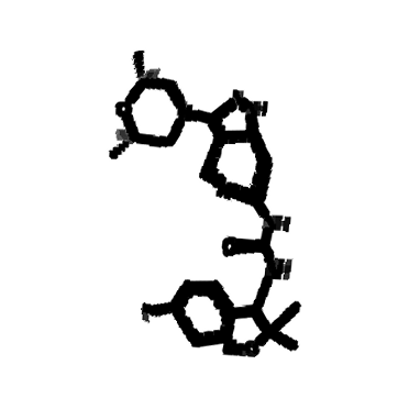 COC(C)(C)C(NC(=O)Nc1cc2[nH]nc(N3C[C@@H](C)O[C@@H](C)C3)c2cn1)c1ccc(F)cc1